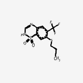 CCCSc1cc2c(cc1C(F)(F)F)N=CNS2(=O)=O